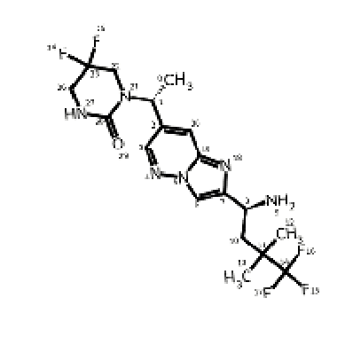 C[C@H](c1cnn2cc([C@@H](N)CC(C)(C)C(F)(F)F)nc2c1)N1CC(F)(F)CNC1=O